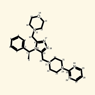 C[C@@H](c1ccccc1)n1c(CN2CCOCC2)nnc1CN1CCN(c2ncccn2)CC1